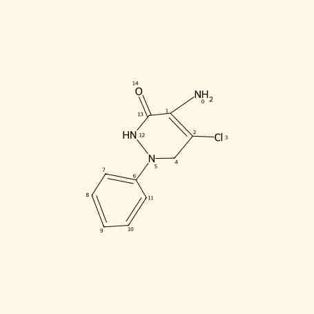 NC1=C(Cl)CN(c2ccccc2)NC1=O